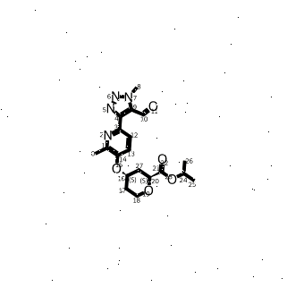 Cc1nc(-c2nnn(C)c2C=O)ccc1O[C@H]1CCO[C@H](C(=O)OC(C)C)C1